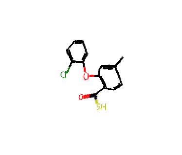 Cc1ccc(C(=O)S)c(Oc2ccccc2Cl)c1